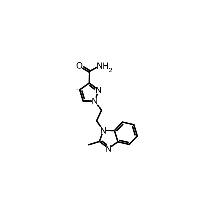 Cc1nc2ccccc2n1CCn1c[c]c(C(N)=O)n1